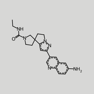 CCNC(=O)N1CCC2(CCn3nc(-c4cnc5ccc(N)cc5c4)cc32)C1